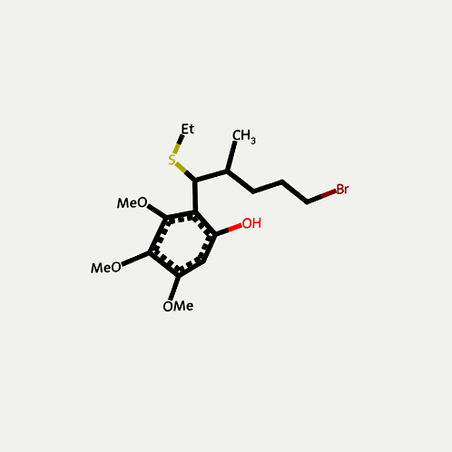 CCSC(c1c(O)cc(OC)c(OC)c1OC)C(C)CCCBr